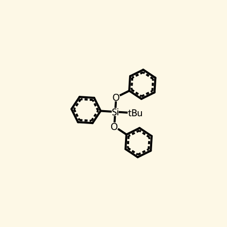 CC(C)(C)[Si](Oc1ccccc1)(Oc1ccccc1)c1ccccc1